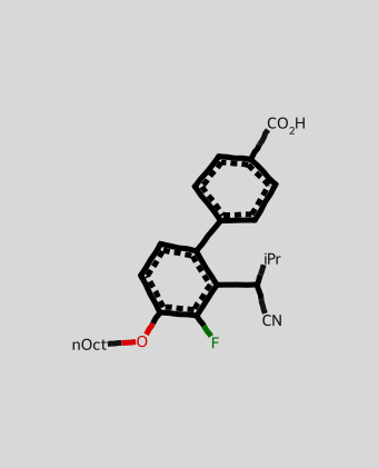 CCCCCCCCOc1ccc(-c2ccc(C(=O)O)cc2)c(C(C#N)C(C)C)c1F